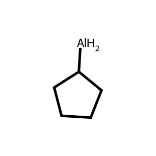 [AlH2][CH]1CCCC1